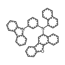 c1cc(N(c2cccc3ccccc23)c2cc3c4ccccc4oc3c3ccccc23)cc(-n2c3ccccc3c3ccccc32)c1